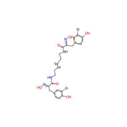 O=C(NCC[Se][Se]CCNC(=O)/C(Cc1ccc(O)c(Br)c1)=N/O)/C(Cc1ccc(O)c(Br)c1)=N/O